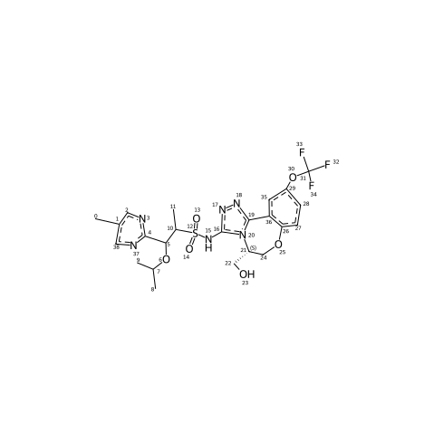 Cc1cnc(C(OC(C)C)C(C)S(=O)(=O)Nc2nnc3n2[C@@H](CO)COc2ccc(OC(F)(F)F)cc2-3)nc1